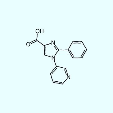 O=C(O)c1cn(-c2cccnc2)c(-c2ccccc2)n1